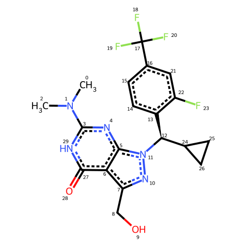 CN(C)c1nc2c(c(CO)nn2[C@@H](c2ccc(C(F)(F)F)cc2F)C2CC2)c(=O)[nH]1